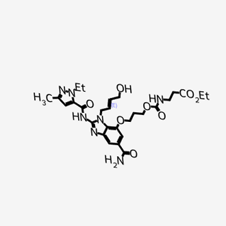 CCOC(=O)CCNC(=O)OCCCOc1cc(C(N)=O)cc2nc(NC(=O)c3cc(C)nn3CC)n(C/C=C/CO)c12